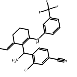 CC=C1CCCC(Nc2cccc(C(F)(F)F)c2)=C1C(N)c1ccc(C#N)cc1Cl